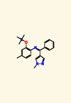 Cc1ccc(N=C(c2ccccc2)c2cnn(C)c2)c(O[Si](C)(C)C)c1